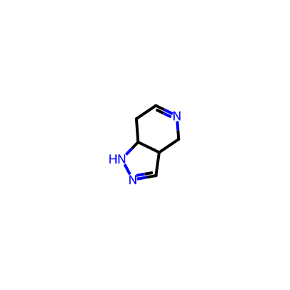 C1=NCC2C=NNC2C1